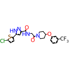 O=C(NCC(=O)N1CCC(Oc2cccc(C(F)(F)F)c2)CC1)c1cc(-c2ccc(Cl)s2)[nH]n1